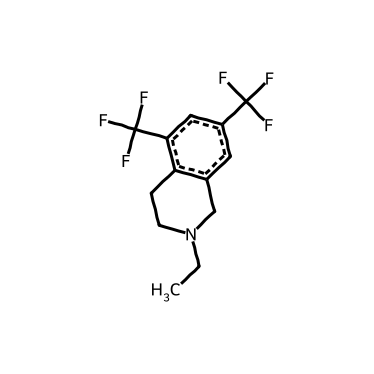 CCN1CCc2c(cc(C(F)(F)F)cc2C(F)(F)F)C1